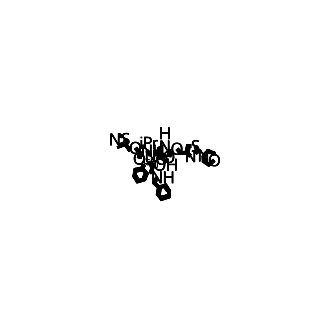 CC(C)C(NC(=O)OCc1csc(N2CCOCC2)n1)C(=O)N(NC(=O)OCc1cncs1)[C@@H](Cc1ccccc1)[C@@H](O)CNCc1ccccc1